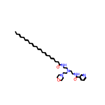 CCC=CCC=CCC=CCC=CCC=CCC=CCCC(=O)NCCN(CCNC(=O)c1cccnc1)CCN1CCOCC1